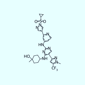 Cn1nc(-c2cnc(Nc3ccnc(-c4cnn(S(=O)(=O)C5CC5)c4)c3)nc2NC2CCC(C)(O)CC2)cc1C(F)(F)F